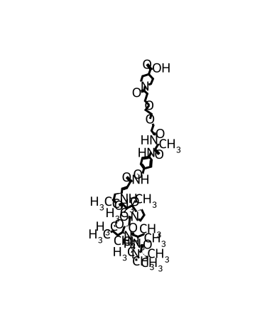 CC[C@H](C)[C@@H]([C@@H](CC(=O)N1CCC[C@H]1[C@H](OC)[C@@H](C)C(=O)N[C@H](/C=C/C(=O)NOCc1ccc(NC(=O)[C@@H](C)NC(=O)CCOCCOCCC(=O)N2CCC(C(=O)O)CC2)cc1)CC(C)C)OC)N(C)C(=O)[C@@H](NC(=O)[C@H](C(C)C)N(C)C)C(C)C